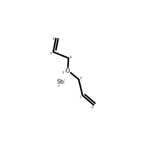 C=CCOCC=C.[Sb]